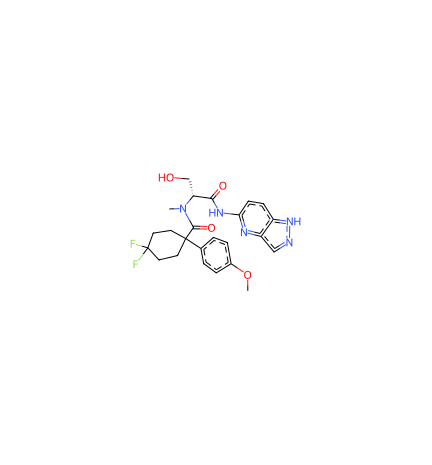 COc1ccc(C2(C(=O)N(C)[C@H](CO)C(=O)Nc3ccc4[nH]ncc4n3)CCC(F)(F)CC2)cc1